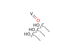 CC(=O)O.CC(=O)O.CC(=O)O.[O]=[V]